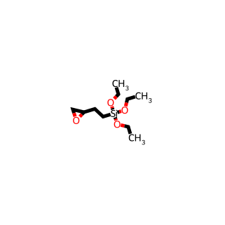 CCO[Si](CCC1CO1)(OCC)OCC